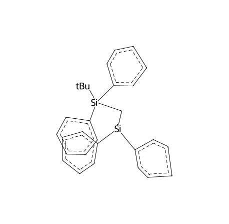 CC(C)(C)[Si](C[Si](c1ccccc1)c1ccccc1)(c1ccccc1)c1ccccc1